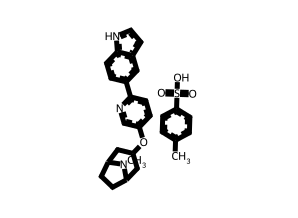 CN1C2CCC1CC(Oc1ccc(-c3ccc4[nH]ccc4c3)nc1)C2.Cc1ccc(S(=O)(=O)O)cc1